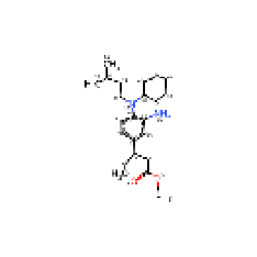 CCC(CC(=O)OC)c1ccc(N(CCC(C)C)C2CCCCC2)c(N)c1